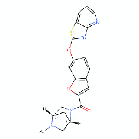 CC(=O)N1C[C@@H]2C[C@H]1CN2C(=O)c1cc2ccc(Oc3nc4ncccc4s3)cc2o1